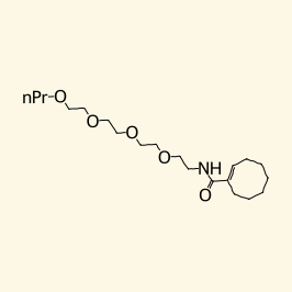 CCCOCCOCCOCCOCCNC(=O)C1=CCCCCCC1